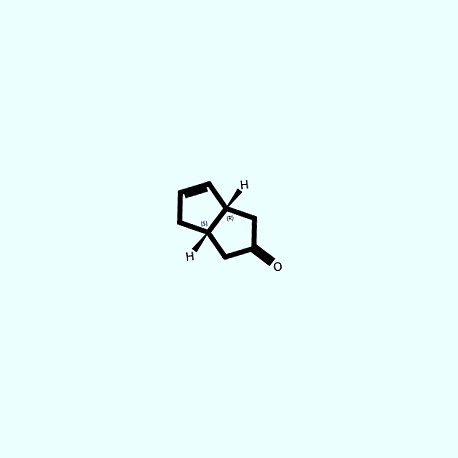 O=C1C[C@@H]2CC=C[C@@H]2C1